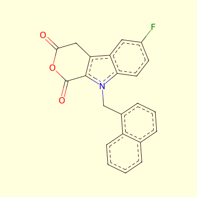 O=C1Cc2c(n(Cc3cccc4ccccc34)c3ccc(F)cc23)C(=O)O1